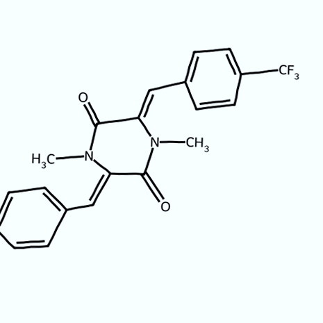 Cn1c(=O)/c(=C/c2ccc(C(F)(F)F)cc2)n(C)c(=O)/c1=C/c1ccccc1